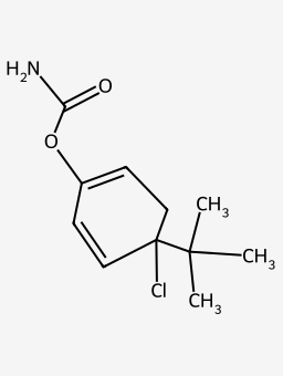 CC(C)(C)C1(Cl)C=CC(OC(N)=O)=CC1